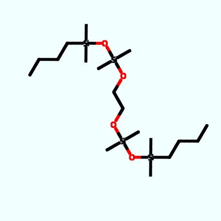 CCCC[Si](C)(C)O[Si](C)(C)OCCO[Si](C)(C)O[Si](C)(C)CCCC